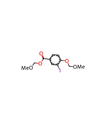 COCOC(=O)c1ccc(OCOC)c(I)c1